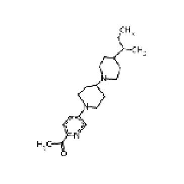 CCC(C)C1CCN(C2CCN(c3ccc(C(C)=O)nc3)CC2)CC1